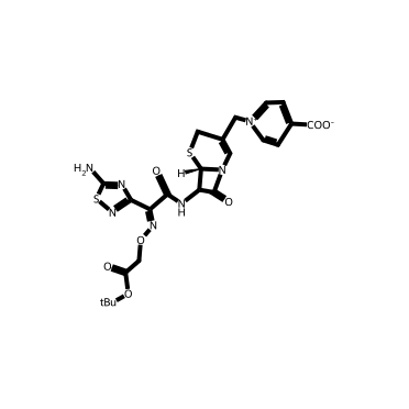 CC(C)(C)OC(=O)CON=C(C(=O)NC1C(=O)N2C=C(C[n+]3ccc(C(=O)[O-])cc3)CS[C@@H]12)c1nsc(N)n1